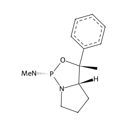 CN[P@]1O[C@](C)(c2ccccc2)[C@@H]2CCCN21